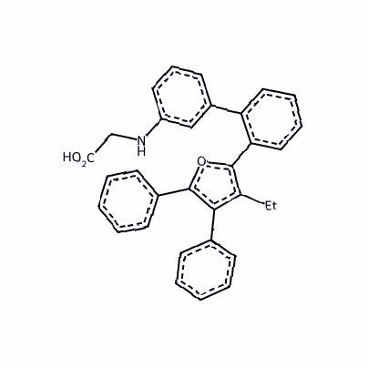 CCc1c(-c2ccccc2-c2cccc(NCC(=O)O)c2)oc(-c2ccccc2)c1-c1ccccc1